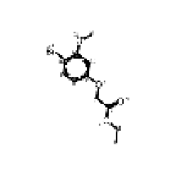 CCOC(=O)COc1ccc(Br)c(OC)c1